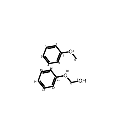 COc1ccccc1.OCOc1ccccc1